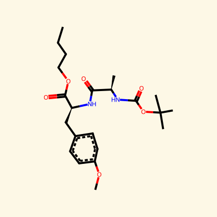 CCCCOC(=O)[C@H](Cc1ccc(OC)cc1)NC(=O)[C@@H](C)NC(=O)OC(C)(C)C